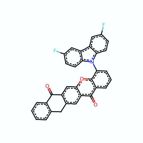 O=C1c2ccccc2Cc2cc3c(=O)c4cccc(-n5c6ccc(F)cc6c6cc(F)ccc65)c4oc3cc21